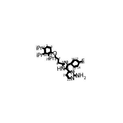 CC(C)c1ccc(OCCCc2nc(-c3ccc(F)cc3)c(-c3ccnc(N)n3)[nH]2)c(C(C)C)c1C(C)C